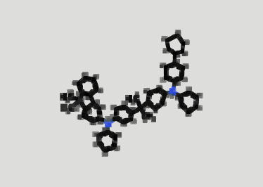 CC(C)(c1ccc(N(c2ccccc2)c2ccc(C3CCCCC3)cc2)cc1)c1ccc(N(c2ccccc2)c2ccc3c(c2)-c2ccccc2[Si]3(C)C)cc1